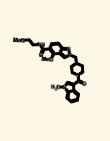 COCCNC(=O)c1ccc2nn(CC3CCN(C(=O)c4cn(C)c5ccccc45)CC3)cc2c1OC